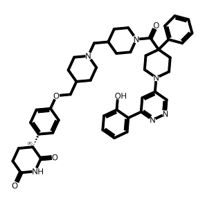 O=C1CC[C@H](c2ccc(OCC3CCN(CC4CCN(C(=O)C5(c6ccccc6)CCN(c6cnnc(-c7ccccc7O)c6)CC5)CC4)CC3)cc2)C(=O)N1